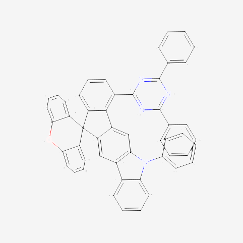 c1ccc(-c2nc(-c3ccccc3)nc(-c3cccc4c3-c3cc5c(cc3C43c4ccccc4Oc4ccccc43)c3ccccc3n5-c3ccccc3)n2)cc1